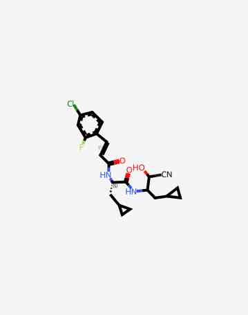 N#CC(O)C(CC1CC1)NC(=O)[C@H](CC1CC1)NC(=O)/C=C/c1ccc(Cl)cc1F